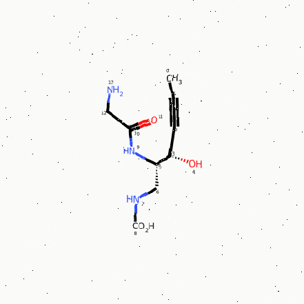 CC#C[C@H](O)[C@H](CNC(=O)O)NC(=O)CN